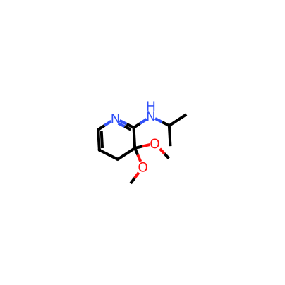 COC1(OC)CC=CN=C1NC(C)C